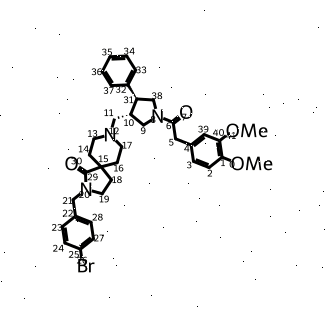 COc1ccc(CC(=O)N2C[C@H](CN3CCC4(CC3)CCN(Cc3ccc(Br)cc3)C4=O)[C@@H](c3ccccc3)C2)cc1OC